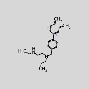 C=C/C=C\C(=C/C=C)c1ccc(CN(CCC)CCNCC)cc1